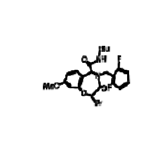 COc1ccc2c(c1)OC(C(C)C)C(=O)N(Cc1c(F)cccc1F)C2C(=O)NC(C)(C)C